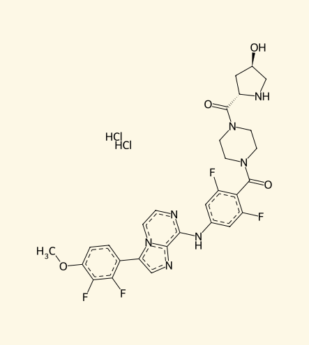 COc1ccc(-c2cnc3c(Nc4cc(F)c(C(=O)N5CCN(C(=O)[C@@H]6C[C@@H](O)CN6)CC5)c(F)c4)nccn23)c(F)c1F.Cl.Cl